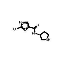 Cc1nc(C(=O)N[C@H]2CCNC2)c[nH]1